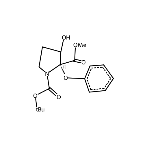 COC(=O)[C@]1(Oc2ccccc2)C(O)CCN1C(=O)OC(C)(C)C